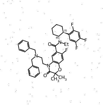 CCN(C(=O)c1cc2c(cc1F)OC(C)(C)C(=O)N2CCN(Cc1ccccc1)Cc1ccccc1)[C@@H]1CCCC[C@H]1c1cc(F)c(F)cc1F